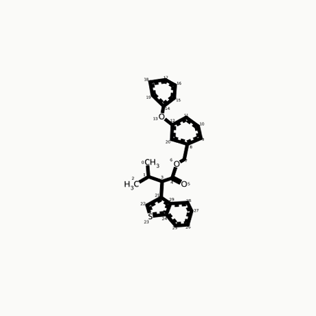 CC(C)C(C(=O)OCc1cccc(Oc2ccccc2)c1)c1csc2ccccc12